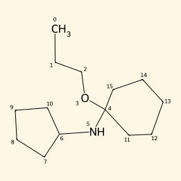 CCCOC1(NC2CCCC2)CCCCC1